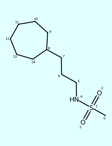 CS(=O)(=O)NCCCC1CCCCCC1